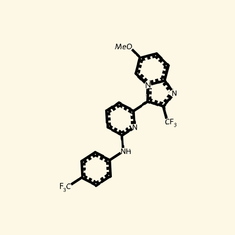 COc1ccc2nc(C(F)(F)F)c(-c3cccc(Nc4ccc(C(F)(F)F)cc4)n3)n2c1